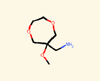 COC1(CN)COCCOC1